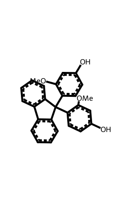 COc1cc(O)ccc1C1(c2ccc(O)cc2OC)c2ccccc2-c2ccccc21